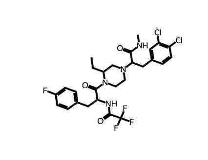 CCC1CN(C(Cc2ccc(Cl)c(Cl)c2)C(=O)NC)CCN1C(=O)C(Cc1ccc(F)cc1)NC(=O)C(F)(F)F